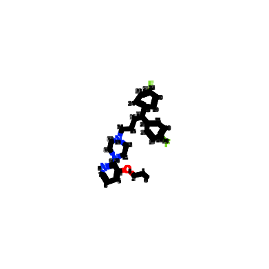 CCCOc1cccnc1N1CCN(CCCC(c2ccc(F)cc2)c2ccc(F)cc2)CC1